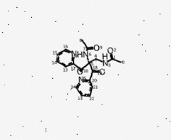 CC(=O)N[CH]C(NC(C)=O)(C(=O)c1ccccn1)C(=O)c1ccccn1